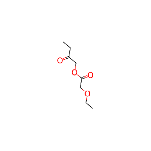 CCOCC(=O)OCC(=O)CC